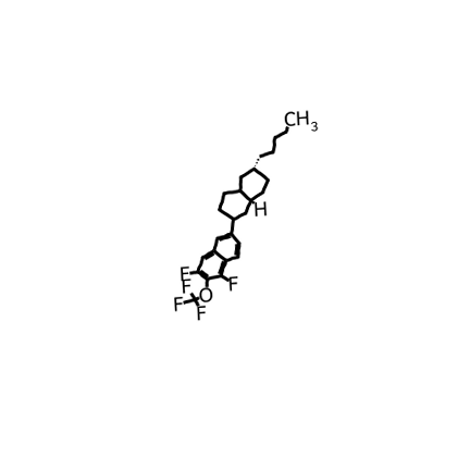 CCCCC[C@@H]1CC[C@@H]2CC(c3ccc4c(F)c(OC(F)(F)F)c(F)cc4c3)CCC2C1